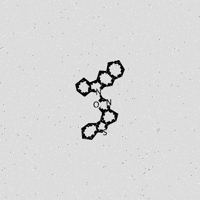 c1ccc2cc3c(cc2c1)c1ccccc1n3-c1nc2ccc3sc4ccccc4c3c2o1